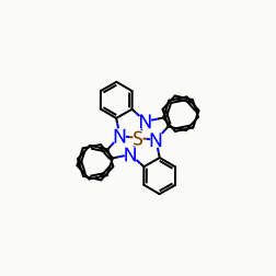 C1=C=C(N2c3ccccc3N(c3ccccc3)S23N(C2=CC=CCC2)c2ccccc2N3c2ccccc2)C=CC=1